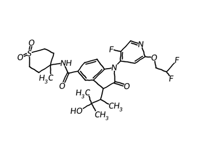 CC(C1C(=O)N(c2cc(OCC(F)F)ncc2F)c2ccc(C(=O)NC3(C)CCS(=O)(=O)CC3)cc21)C(C)(C)O